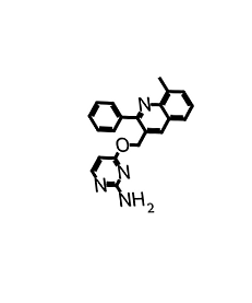 Cc1cccc2cc(COc3ccnc(N)n3)c(-c3ccccc3)nc12